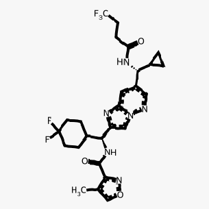 Cc1conc1C(=O)N[C@H](c1cn2ncc([C@H](NC(=O)CCC(F)(F)F)C3CC3)cc2n1)C1CCC(F)(F)CC1